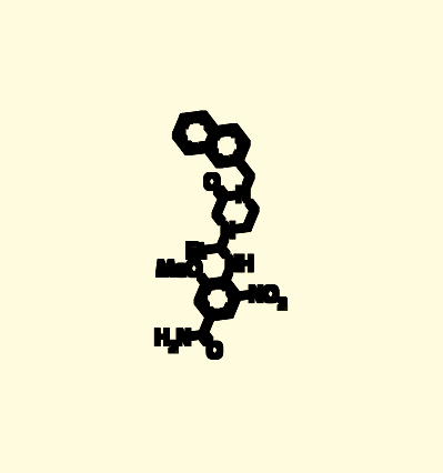 CCC(Nc1c(OC)cc(C(N)=O)cc1[N+](=O)[O-])N1CCN(Cc2ccc3ccccc3c2)C(=O)C1